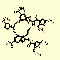 CCn1nc(C)cc1C(=O)Nc1nc2cc(C(N)=O)cc3c2n1C/C=C/Cn1c(NC(=O)c2cc(C)nn2CC)nc2cc(C(N)=O)cc(c21)OCC(N1CC[C@@H](OC)C1)CO3